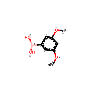 CCCOc1cc(OCCC)cc(B(O)O)c1